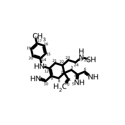 C=CC1(CC(=N)C=N)CC(C=N)=C(Nc2ccc(C)cc2)CC1CCNS